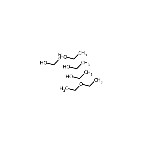 CCO.CCO.CCO.CCO.CCOCC